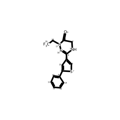 O=C1CNC(c2csc(-c3ccccc3)c2)=NN1CC(F)(F)F